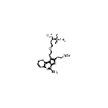 COCCc1nc2c(N)nc3c(c2n1CCOCCN(C)S(C)(=O)=O)CCCC3